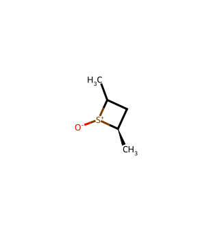 CC1C[C@@H](C)[S+]1[O-]